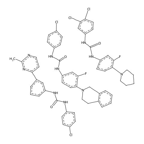 Cc1nccc(-c2cccc(NC(=O)Nc3ccc(Cl)cc3)c2)n1.O=C(Nc1ccc(Cl)cc1)Nc1ccc(N2CCc3ccccc3C2)c(F)c1.O=C(Nc1ccc(N2CCCCC2)c(F)c1)Nc1ccc(Cl)c(Cl)c1